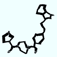 O=C(c1ccc(/C=C/c2n[nH]c3ccccc23)cc1)N1CCN(C(=O)n2ccnc2)CC1